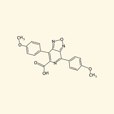 COc1ccc(-c2nc(C(=O)O)c(-c3ccc(OC)cc3)c3nonc23)cc1